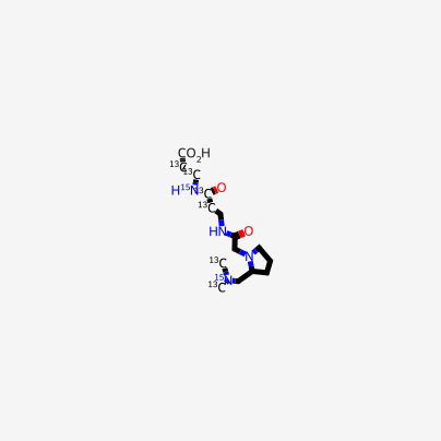 [13CH3][15N]([13CH3])CC1CCCN1CC(=O)NC[13CH2][13C](=O)[15NH][13CH2][13CH2][13C](=O)O